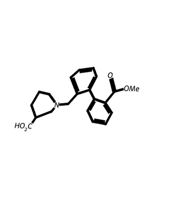 COC(=O)c1ccccc1-c1ccccc1CN1CCCC(C(=O)O)C1